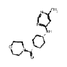 Cc1cc(N[C@H]2CC[C@@H](C(=O)N3CCOCC3)CC2)ncn1